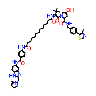 Cc1ncsc1-c1ccc(CNC(=O)[C@@H]2C[C@@H](O)CN2C(=O)[C@@H](NC(=O)CCCCCCCCCCCC(=O)Nc2ccc(C(=O)Nc3ccc4[nH]c(CN5CCC[C@@H]5C)nc4c3)cc2)C(C)(C)C)cc1